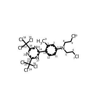 Cc1cc(N(CCCl)CCCl)ccc1-c1nc(C(Cl)(Cl)Cl)nc(C(Cl)(Cl)Cl)n1